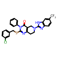 O=c1c2c(nc(SCc3cccc(Cl)c3)n1-c1ccccc1)CCN(c1nc3ccc(C(F)(F)F)cc3[nH]1)C2